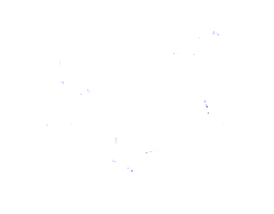 CS(C)(=O)=Nc1ncc(-c2n[nH]c3ccc(O[C@H](N)c4c(Cl)cncc4Cl)cc23)cc1F